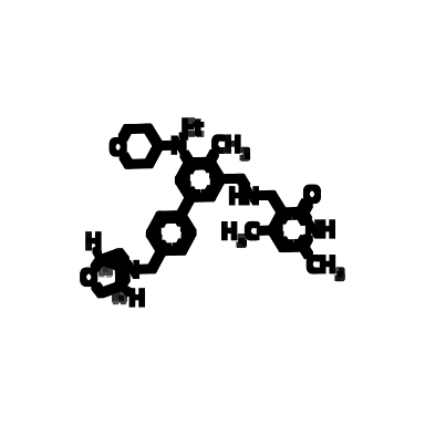 CCN(c1cc(-c2ccc(CN3C[C@@H]4C[C@H]3CO4)cc2)cc(CNCc2c(C)cc(C)[nH]c2=O)c1C)C1CCOCC1